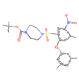 Cc1cc(C)cc(Oc2cc(C)c([N+](=O)[O-])cc2S(=O)(=O)N2CCN(C(=O)OC(C)(C)C)CC2)c1